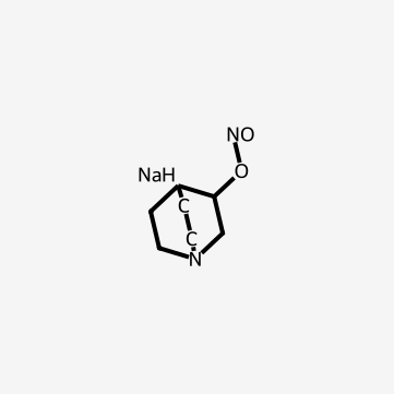 O=NOC1CN2CCC1CC2.[NaH]